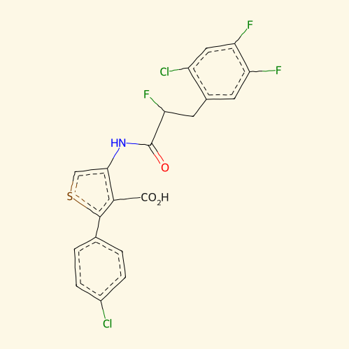 O=C(O)c1c(NC(=O)C(F)Cc2cc(F)c(F)cc2Cl)csc1-c1ccc(Cl)cc1